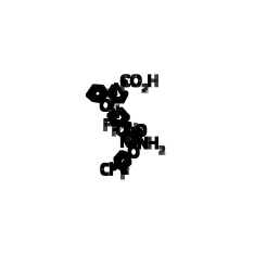 Nc1c(Oc2ccc(Cl)c(F)c2)ncn(C[C@@]2(O)CCN(C(=O)[C@@H]3CCN(C(=O)O)C[C@H]3c3ccccc3)CC2(F)F)c1=O